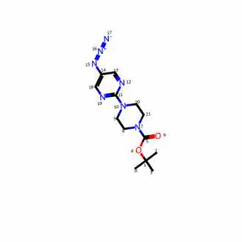 CC(C)(C)OC(=O)N1CCN(c2ncc(N=[N+]=[N-])cn2)CC1